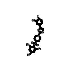 CC(C)c1cc(C(C)C)c(S(=O)(=O)C2CCN(c3nc(-c4ccc(F)c(Cl)c4)cs3)CC2)c(C(C)C)c1